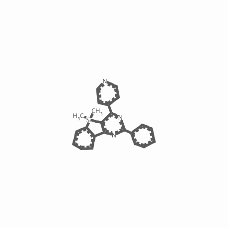 C[Si]1(C)c2ccccc2-c2nc(-c3ccccc3)nc(-c3ccncc3)c21